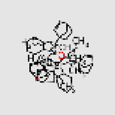 CCC[Si](C)(C12C=CC(CC1)C2)[Si](O[Si](C1CCCCC1)([Si](C)(CCC)C12C=CC(CC1)C2)[Si](C)(CCC)C12C=CC(CC1)C2)(C1CCCCC1)[Si](C)(CCC)C12C=CC(CC1)C2